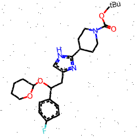 CC(C)(C)OC(=O)N1CCC(c2nc(CC(OC3CCCCO3)c3ccc(F)cc3)c[nH]2)CC1